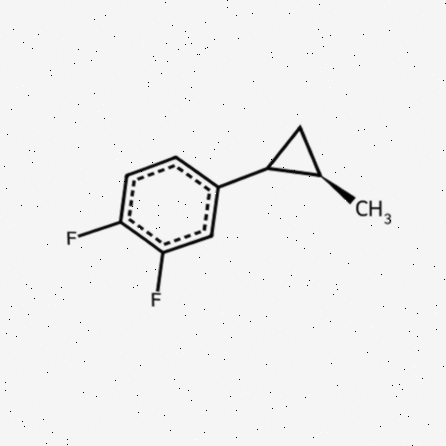 C[C@@H]1CC1c1ccc(F)c(F)c1